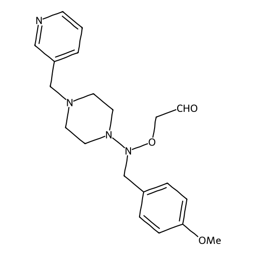 COc1ccc(CN(OCC=O)N2CCN(Cc3cccnc3)CC2)cc1